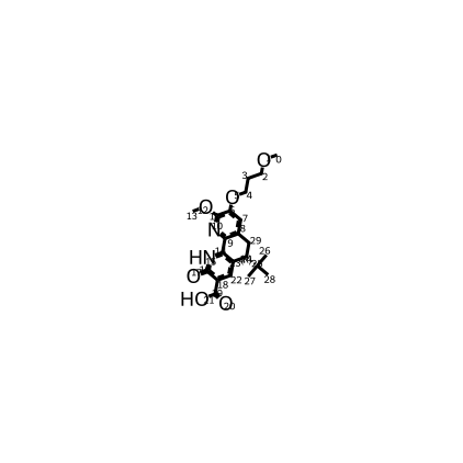 COCCCOc1cc2c(nc1OC)-c1[nH]c(=O)c(C(=O)O)cc1[C@@H](C(C)(C)C)C2